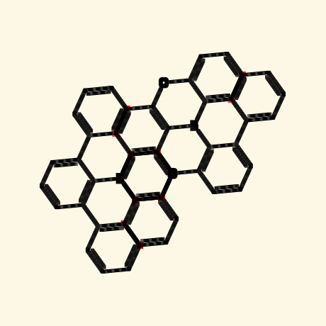 c1ccc(-c2cccc(-c3ccccc3)c2B2c3ccccc3Oc3c2ccc2c3B(c3c(-c4ccccc4)cccc3-c3ccccc3)c3ccccc3O2)cc1